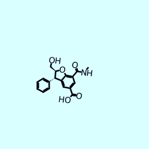 CNC(=O)c1cc(C(=O)O)cc2c1O[C@H](CO)[C@H]2c1ccccc1